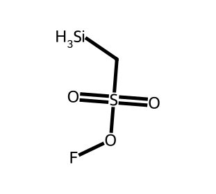 O=S(=O)(C[SiH3])OF